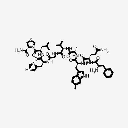 Cc1ccc2c(C[C@H](NC(=O)[C@H](CCC(N)=O)NC(=O)[C@H](N)Cc3ccccc3)C(=O)N[C@@H](C)C(=O)N[C@H](C(=O)NCC(=O)N[C@@H](Cc3c[nH]cn3)C(=O)N[C@@H](CC(C)C)C(=O)N3CSC[C@H]3C(N)=O)C(C)C)c[nH]c2c1